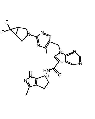 Cc1nc(N2CC3C(C2)C3(F)F)ncc1Cn1cc(C(=O)N[C@@H]2CCc3c(C)n[nH]c32)c2cncnc21